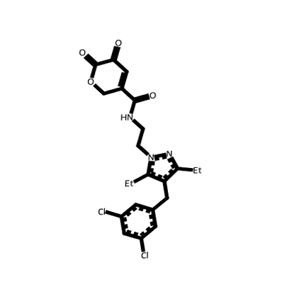 CCc1nn(CCNC(=O)C2=CC(=O)C(=O)OC2)c(CC)c1Cc1cc(Cl)cc(Cl)c1